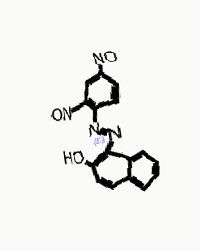 O=Nc1ccc(/N=N/c2c(O)ccc3ccccc23)c(N=O)c1